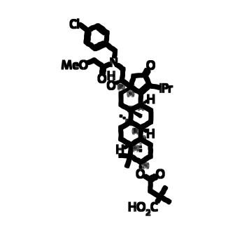 COCC(=O)N(Cc1ccc(Cl)cc1)C[C@H](O)[C@@]12CC[C@]3(C)[C@H](CC[C@@H]4[C@@]5(C)CC[C@H](OC(=O)CC(C)(C)C(=O)O)C(C)(C)[C@@H]5CC[C@]43C)C1=C(C(C)C)C(=O)C2